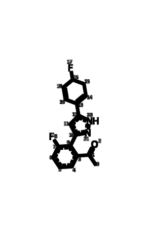 CC(=O)c1cccc(F)c1-c1cc(C2=CCC(F)C=C2)[nH]n1